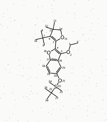 CCOc1c(C2=C(C(C)(C)C)C(C)(C)CO2)oc2ccc(O[Si](C)(C)C(C)(C)C)cc12